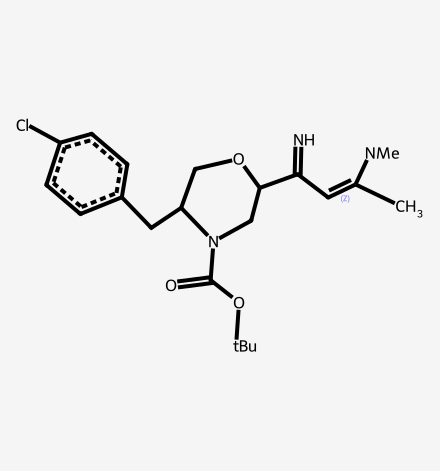 CN/C(C)=C\C(=N)C1CN(C(=O)OC(C)(C)C)C(Cc2ccc(Cl)cc2)CO1